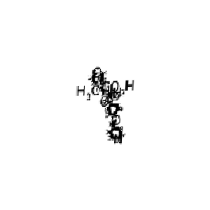 C[C@](CNS(=O)(=O)c1ccc(OCc2ccncc2)cc1)(C(=O)O)N1CCOCC1